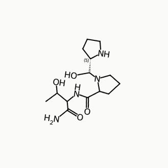 CC(O)C(NC(=O)C1CCCN1C(O)[C@@H]1CCCN1)C(N)=O